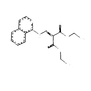 CCOC(=O)C(=CNc1nccc2ccccc12)C(=O)OCC